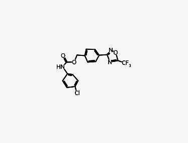 O=C(Nc1ccc(Cl)cc1)OCc1ccc(-c2noc(C(F)(F)F)n2)cc1